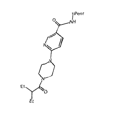 CCCCCNC(=O)c1ccc(N2CCN(C(=O)C(CC)CC)CC2)nc1